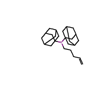 C=CCCCP(C12CC3CC(CC(C3)C1)C2)C12CC3CC(CC(C3)C1)C2